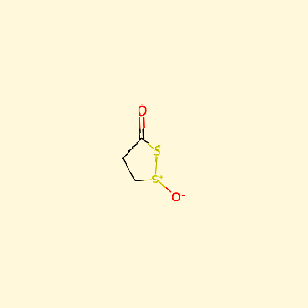 O=C1CC[S+]([O-])S1